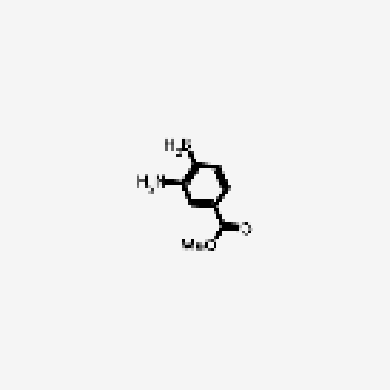 Bc1ccc(C(=O)OC)cc1N